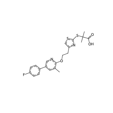 Cc1cc(-c2ccc(F)cc2)cnc1OCCc1csc(SC(C)(C)C(=O)O)n1